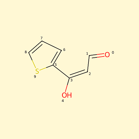 O=C/C=C(/O)c1cccs1